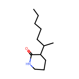 CCCCCC(C)C1CCCNC1=O